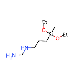 CCO[Si](C)(CCCNCN)OCC